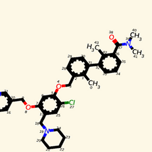 Cc1c(COc2cc(OCc3cncc(C#N)c3)c(CN3CCCCC3)cc2Cl)cccc1-c1cccc(C(=O)N(C)C)c1C